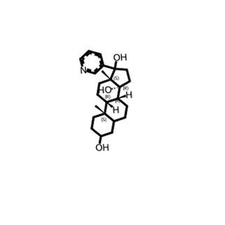 C[C@]12CCC(O)CC1CC[C@@H]1[C@H]2CC[C@]2(C)C(O)(c3cccnc3)CC[C@@]12O